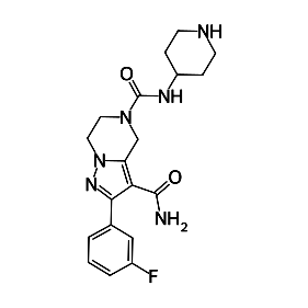 NC(=O)c1c(-c2cccc(F)c2)nn2c1CN(C(=O)NC1CCNCC1)CC2